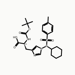 Cc1ccc(S(=O)(=O)N(C2CCCCC2)n2cnc(C[C@H](NC(=O)OC(C)(C)C)C(=O)O)c2)cc1